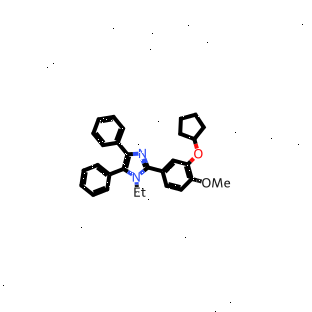 CCn1c(-c2ccc(OC)c(OC3CCCC3)c2)nc(-c2ccccc2)c1-c1ccccc1